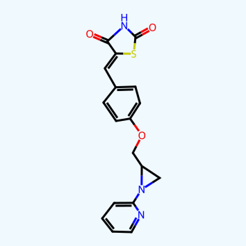 O=C1NC(=O)C(=Cc2ccc(OCC3CN3c3ccccn3)cc2)S1